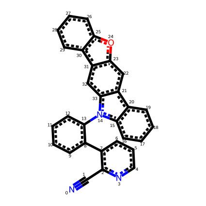 N#Cc1ncccc1-c1ccccc1-n1c2ccccc2c2cc3oc4ccccc4c3cc21